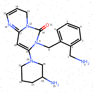 NCc1ccccc1CN1C(=O)N2CC=CN=C2C=C1N1CCCC(N)C1